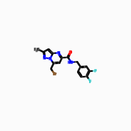 O=C(NCc1ccc(F)c(F)c1)c1cc(CBr)n2nc(C(F)(F)F)cc2n1